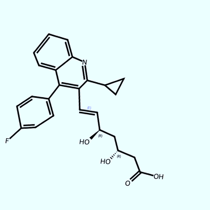 O=C(O)C[C@H](O)C[C@@H](O)/C=C/c1c(C2CC2)nc2ccccc2c1-c1ccc(F)cc1